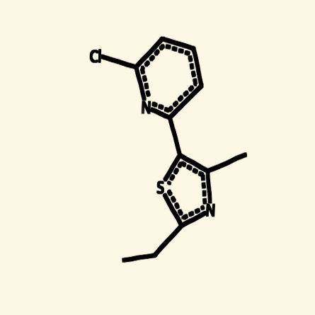 CCc1nc(C)c(-c2cccc(Cl)n2)s1